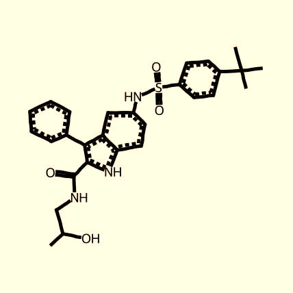 CC(O)CNC(=O)c1[nH]c2ccc(NS(=O)(=O)c3ccc(C(C)(C)C)cc3)cc2c1-c1ccccc1